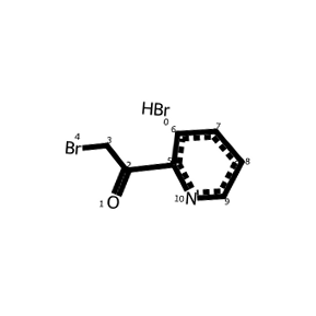 Br.O=C(CBr)c1ccccn1